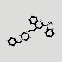 CN(C(=O)CC(CCN1CCN(Cc2ccccc2)CC1)c1ccccc1)c1ccccc1